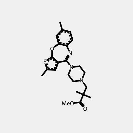 COC(=O)C(C)(C)CN1CCN(C2=Nc3ccc(C)cc3Oc3sc(C)cc32)CC1